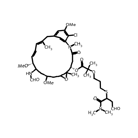 COc1cc2cc(c1Cl)N(C)C(=O)C[C@H](OC(=O)C(C)(C)OCCCSC(CC=O)C(=O)N(C)C)C1(C)OC1CC(OC)CC(NC=O)[C@H](OC)/C=C/C=C(\C)C2